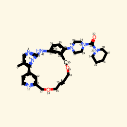 Cc1cnc2nc1-c1ccnc(c1)COC/C=C/COCc1cc(ccc1N1CCN(C(=O)N3CCCCC3)CC1)N2